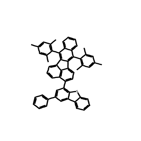 Cc1cc(C)c(-c2c3c(c(-c4c(C)cc(C)cc4C)c4ccccc24)-c2ccc(-c4cc(-c5ccccc5)cc5c4sc4ccccc45)c4cccc-3c24)c(C)c1